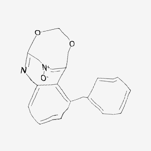 [O-][n+]1c2nc3cccc(-c4ccccc4)c3c1OCO2